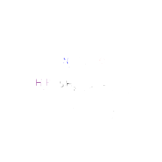 Cc1c2c(c([SiH2]P)n1-c1ccccc1)C(c1ccccc1)(c1ccccc1)c1ccccc1O2